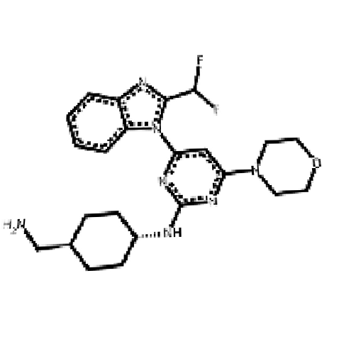 NC[C@H]1CC[C@H](Nc2nc(N3CCOCC3)cc(-n3c(C(F)F)nc4ccccc43)n2)CC1